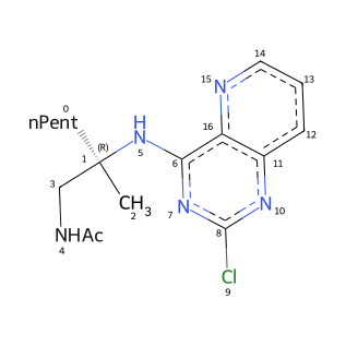 CCCCC[C@](C)(CNC(C)=O)Nc1nc(Cl)nc2cccnc12